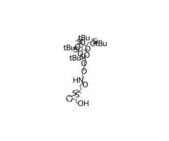 CC(C)(CCC(=O)NCCOCCOCCOC1OC(CO[Si](C)(C)C(C)(C)C)C(O[Si](C)(C)C(C)(C)C)C(O[Si](C)(C)C(C)(C)C)C1O[Si](C)(C)C(C)(C)C)SSc1ccccc1CCO